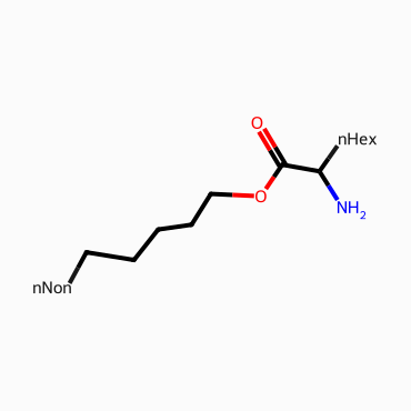 CCCCCCCCCCCCCCOC(=O)C(N)CCCCCC